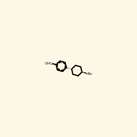 CCCC[C@H]1CC[C@H](c2ccc(C=O)cc2)CC1